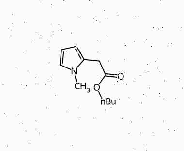 CCCCOC(=O)Cc1cccn1C